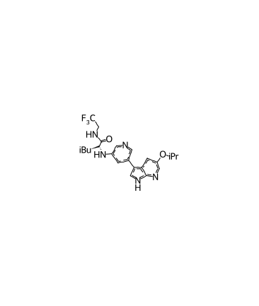 CC[C@H](C)[C@@H](Nc1cncc(-c2c[nH]c3ncc(OC(C)C)cc23)c1)C(=O)NCC(F)(F)F